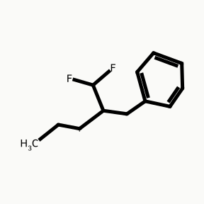 CC[CH]C(Cc1ccccc1)C(F)F